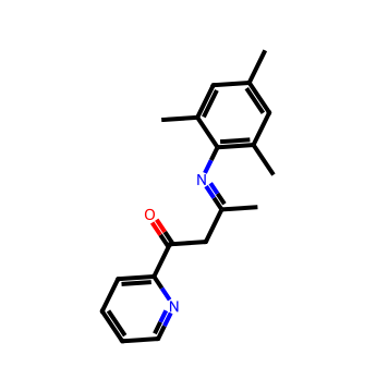 CC(CC(=O)c1ccccn1)=Nc1c(C)cc(C)cc1C